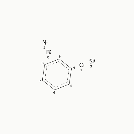 [B].[C].[N].[Si].c1ccccc1